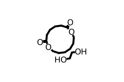 O=C1CCCCC(=O)OCCCCCCO1.OCCO